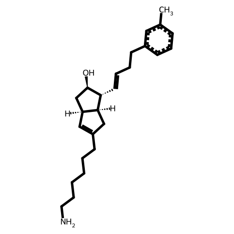 Cc1cccc(CC/C=C/[C@@H]2[C@H]3CC(CCCCCCN)=C[C@H]3C[C@H]2O)c1